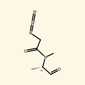 C[C@@H](C=O)N(C)C(=O)CN=[N+]=[N-]